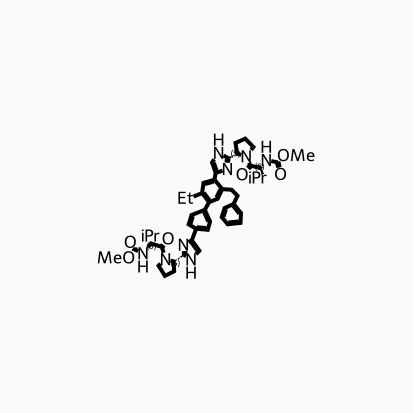 CCc1cc(-c2c[nH]c([C@@H]3CCCN3C(=O)[C@@H](NC(=O)OC)C(C)C)n2)c(CCc2ccccc2)cc1-c1ccc(-c2c[nH]c([C@@H]3CCCN3C(=O)[C@@H](NC(=O)OC)C(C)C)n2)cc1